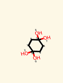 OC1(O)CCC(O)(O)CC1